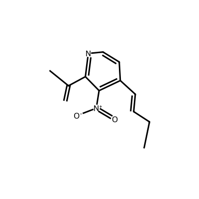 C=C(C)c1nccc(/C=C/CC)c1[N+](=O)[O-]